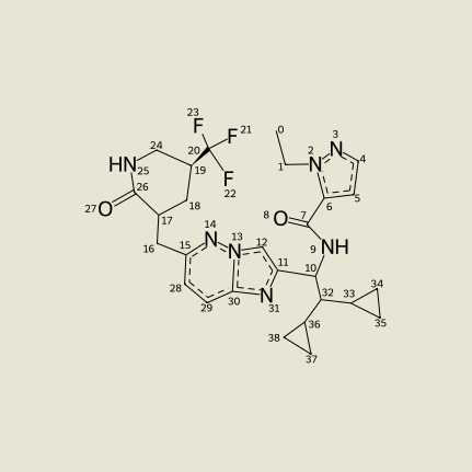 CCn1nccc1C(=O)NC(c1cn2nc(CC3C[C@H](C(F)(F)F)CNC3=O)ccc2n1)C(C1CC1)C1CC1